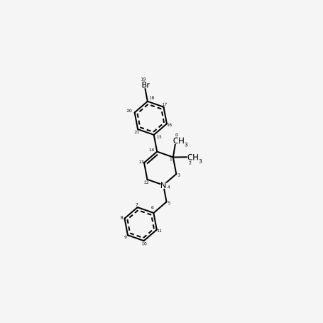 CC1(C)CN(Cc2ccccc2)CC=C1c1ccc(Br)cc1